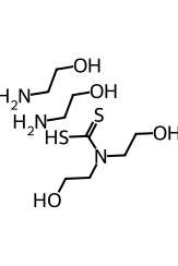 NCCO.NCCO.OCCN(CCO)C(=S)S